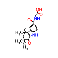 CC1(C)CC(C)(C)c2c([nH]c3ccc(C(=O)NCC(=O)O)cc23)C1=O